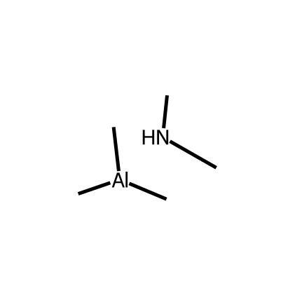 CNC.[CH3][Al]([CH3])[CH3]